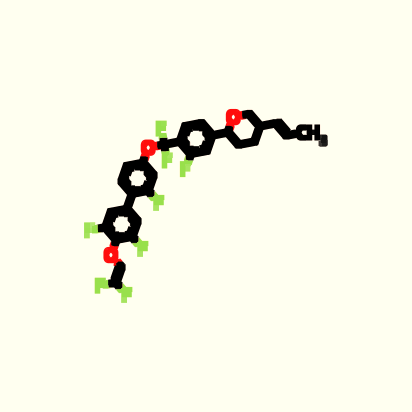 C/C=C/C1CCC(c2ccc(C(F)(F)Oc3ccc(-c4cc(F)c(OC=C(F)F)c(F)c4)c(F)c3)c(F)c2)OC1